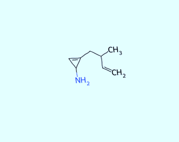 C=CC(C)CC1=CC1N